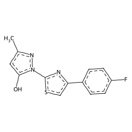 Cc1cc(O)n(-c2nc(-c3ccc(F)cc3)cs2)n1